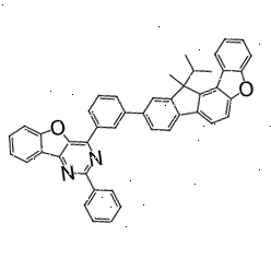 CC(C)C1(C)c2cc(-c3cccc(-c4nc(-c5ccccc5)nc5c4oc4ccccc45)c3)ccc2-c2ccc3oc4ccccc4c3c21